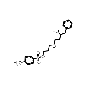 Cc1ccc(S(=O)(=O)OCCCOCCC(O)Cc2ccccc2)cc1